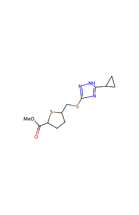 COC(=O)C1CCC(CSc2n[nH]c(C3CC3)n2)S1